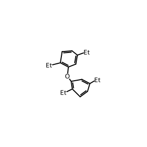 CCc1ccc(CC)c(Oc2cc(CC)ccc2CC)c1